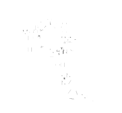 B[C@@H]1[C@@H](C)C(=O)[C@@H](C)C(=O)O[C@H](CC)[C@@]2(C)OC(=O)N(CCCCn3cc(-c4cccc(N)c4)nn3)[C@@H]2[C@@H](CCO)NC[C@H](C)C[C@@]1(C)OC